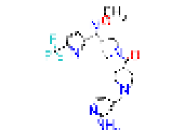 CON=C(c1ccc(C(F)(F)F)nc1)C1CCN(C(=O)C2CCN(Cc3ccnc(N)c3)CC2)CC1